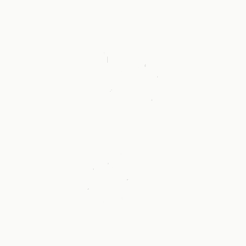 Cc1cc(C2CCCCC2)ccc1-c1ccc(F)c(F)c1